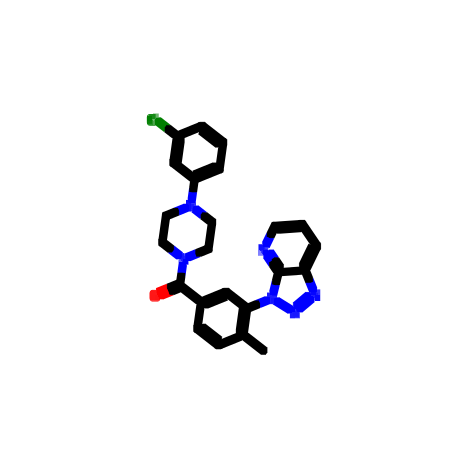 Cc1ccc(C(=O)N2CCN(c3cccc(Cl)c3)CC2)cc1-n1nnc2cccnc21